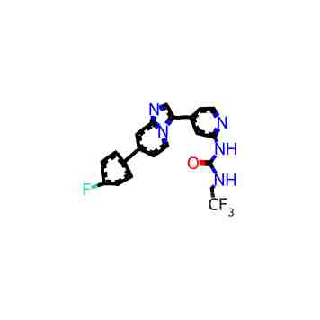 O=C(NCC(F)(F)F)Nc1cc(-c2cnc3cc(-c4ccc(F)cc4)ccn23)ccn1